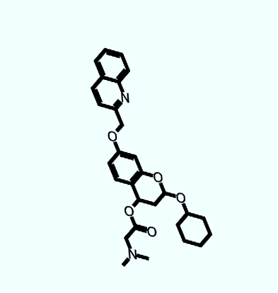 CN(C)CC(=O)OC1CC(OC2CCCCC2)Oc2cc(OCc3ccc4ccccc4n3)ccc21